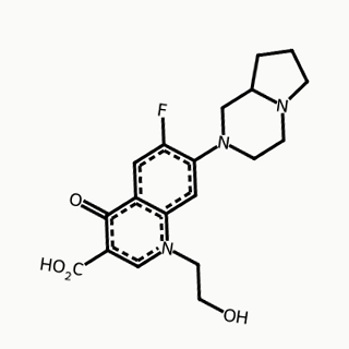 O=C(O)c1cn(CCO)c2cc(N3CCN4CCCC4C3)c(F)cc2c1=O